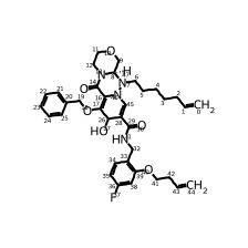 C=CCCCCCN1[C@@H]2COCCN2C(=O)C2=C(OCc3ccccc3)C(O)C(C(=O)NCc3ccc(F)cc3OCCC=C)=CN21